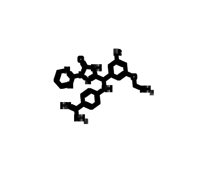 CCc1cc(OCN)cc(C(Nc2ccc(C(=N)N)cc2)c2nn(-c3ncccn3)c(=O)[nH]2)c1